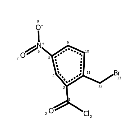 O=C(Cl)c1cc([N+](=O)[O-])ccc1CBr